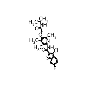 Cc1nc(NC(=O)c2sc3cc(F)ccc3c2Cl)c(C)c(C)c1OCC(=O)NC(C)C